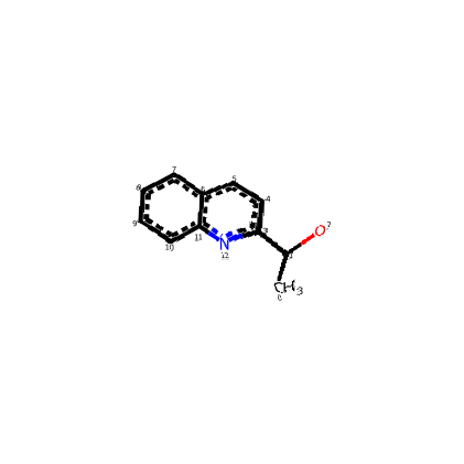 CC([O])c1ccc2ccccc2n1